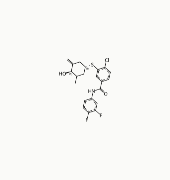 C=C1C[C@H](Sc2cc(C(=O)Nc3ccc(F)c(F)c3)ccc2Cl)CC(C)[C@H]1O